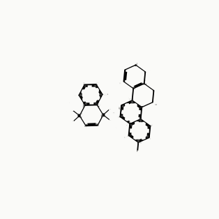 Brc1ccc2c3c(ccc2c1)C1=C(CCC=C1)CC3.CC1(C)C=CC(C)(C)c2ccccc21